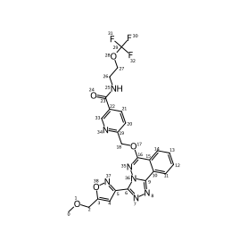 COCc1cc(-c2nnc3c4ccccc4c(OCc4ccc(C(=O)NCCOC(F)(F)F)cn4)nn23)no1